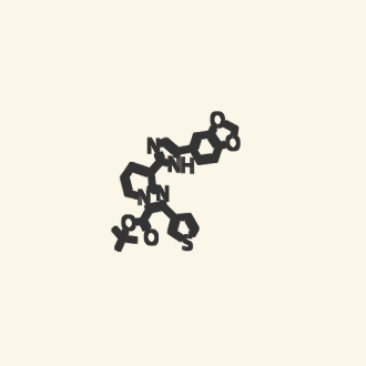 CC(C)(C)OC(=O)c1c(-c2ccsc2)nc2c(-c3ncc(-c4ccc5c(c4)OCO5)[nH]3)cccn12